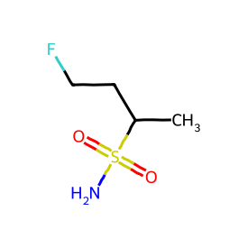 CC(CCF)S(N)(=O)=O